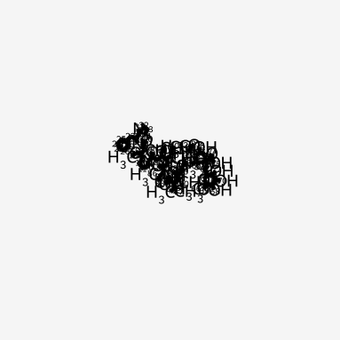 CCC(C)C(C(CC(=O)N1CCCC1C(OC)C(C)C(=O)NC(Cc1ccccc1)c1nccs1)OC)N(C)C(=O)C(NC(=O)C(C(C)C)N(C)C(=O)CO/N=C/C1OC(OCC2OC(OC)C(O)C(O)C2O)(C(=O)O)CC(O)C1NC(C)=O)C(C)C